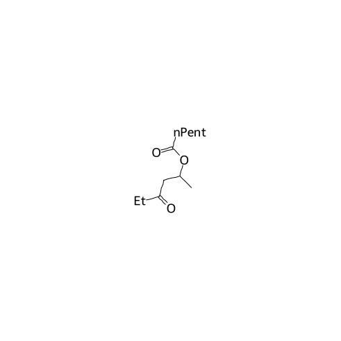 CCCCCC(=O)OC(C)CC(=O)CC